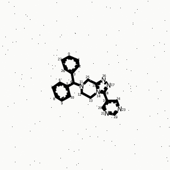 c1ccc(C(c2ccccc2)N2CCn3c(nnc3-c3cncnc3)C2)cc1